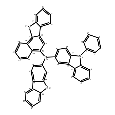 c1ccc(-n2c3ccccc3c3cc(N(c4ccc5c(c4)sc4ccccc45)c4cc5c6ccccc6sc5c5ccccc45)ccc32)cc1